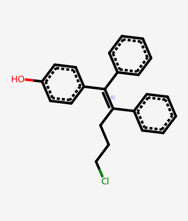 Oc1ccc(/C(=C(\CCCCl)c2ccccc2)c2ccccc2)cc1